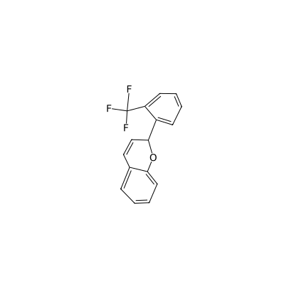 FC(F)(F)c1ccccc1C1C=Cc2ccccc2O1